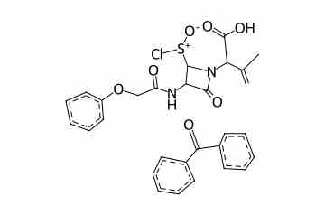 C=C(C)C(C(=O)O)N1C(=O)C(NC(=O)COc2ccccc2)C1[S+]([O-])Cl.O=C(c1ccccc1)c1ccccc1